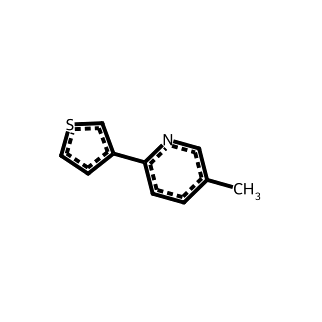 Cc1ccc(-c2ccsc2)nc1